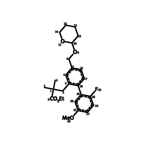 CCOC(=O)C(C)(C)Cc1cc(COC2CCCCO2)ccc1-c1cc(OC)ccc1F